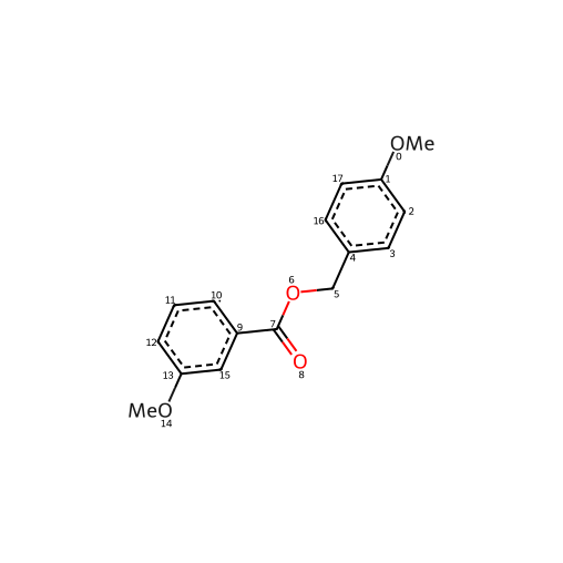 COc1ccc(COC(=O)c2[c]ccc(OC)c2)cc1